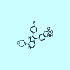 O=S1(=O)Cc2cc(-c3c(-c4ccc(F)cc4)nc4c(N5CCOCC5)nccn34)ccc2N1